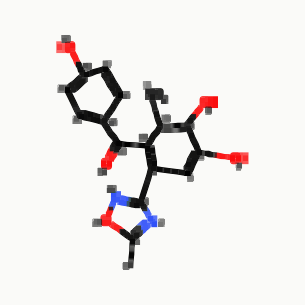 Cc1nc(-c2cc(O)c(O)c([N+](=O)[O-])c2C(=O)c2ccc(O)cc2)no1